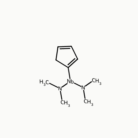 C[N](C)[Nb]([C]1=CC=CC1)[N](C)C